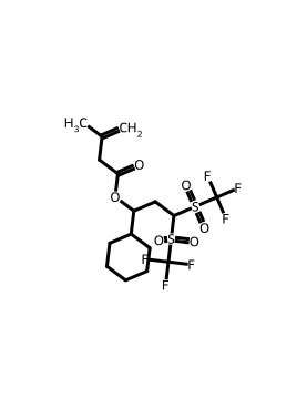 C=C(C)CC(=O)OC(CC(S(=O)(=O)C(F)(F)F)S(=O)(=O)C(F)(F)F)C1CCCCC1